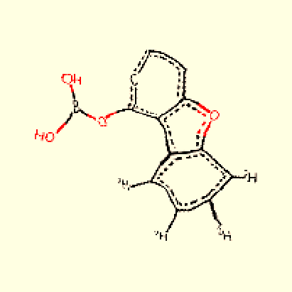 [2H]c1c([2H])c([2H])c2c(oc3cccc(OB(O)O)c32)c1[2H]